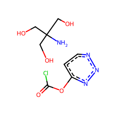 NC(CO)(CO)CO.O=C(Cl)Oc1ccnnn1